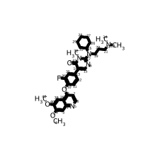 COc1cc2nccc(Oc3ccc(-c4cnc(N(CCCN(C)C)C5CCCCC5)n(C)c4=O)cc3F)c2cc1OC